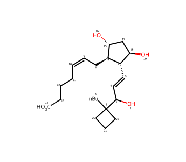 CCCCC1(C(O)/C=C/[C@@H]2[C@@H](C/C=C\CCCC(=O)O)[C@H](O)C[C@H]2O)CCC1